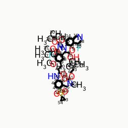 COc1c(F)cc(C(C(=O)O)N(c2ccc3cncc(F)c3c2)N(C(=O)OC(C)(C)C)C(=O)OC(C)(C)C)cc1CCC(=O)Nc1ccc(S(=O)(=O)C2CC2)c(CN(C)C(=O)OCC[Si](C)(C)C)c1